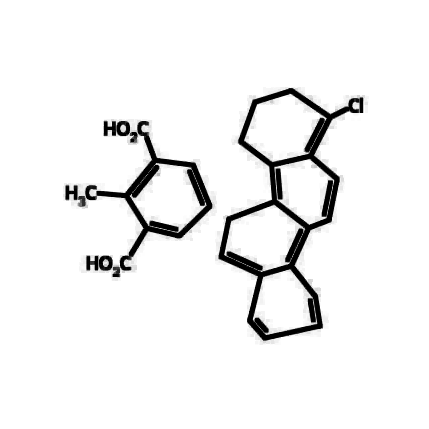 Cc1c(C(=O)O)cccc1C(=O)O.ClC1=c2ccc3c(c2CCC1)CC=c1ccccc1=3